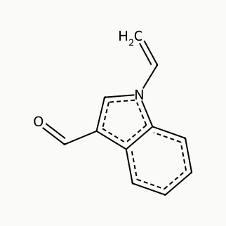 C=Cn1cc(C=O)c2ccccc21